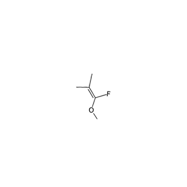 COC(F)=C(C)C